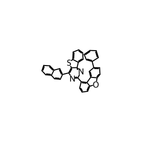 c1ccc(-c2ccc3oc4cccc(-c5nc(-c6ccc7ccccc7c6)c6sc7ccccc7c6n5)c4c3c2)cc1